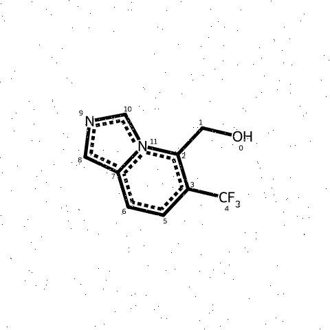 OCc1c(C(F)(F)F)ccc2cncn12